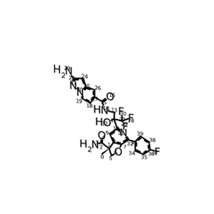 C[C@]1(C(N)=O)COc2c1cc(C(O)(CNC(=O)c1ccn3nc(N)cc3c1)C(F)(F)F)nc2-c1ccc(F)cc1